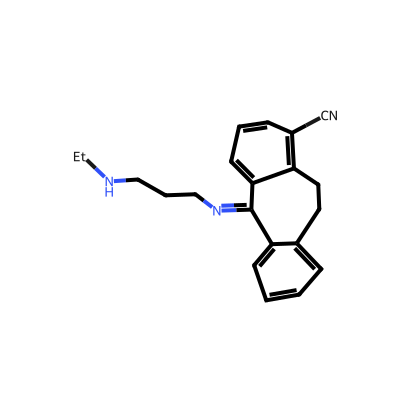 CCNCCCN=C1c2ccccc2CCc2c(C#N)cccc21